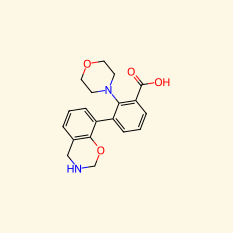 O=C(O)c1cccc(-c2cccc3c2OCNC3)c1N1CCOCC1